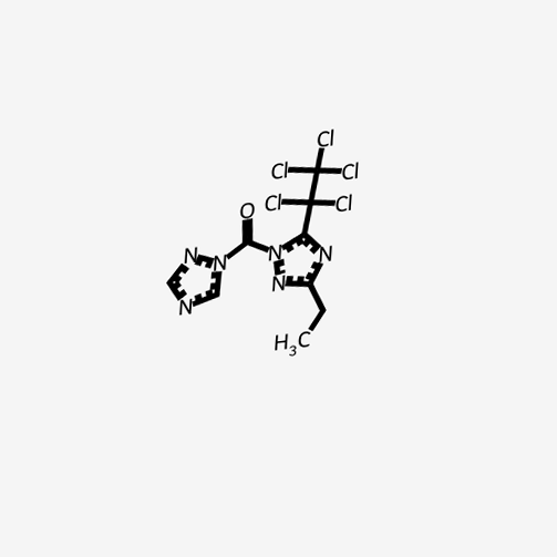 CCc1nc(C(Cl)(Cl)C(Cl)(Cl)Cl)n(C(=O)n2cncn2)n1